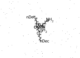 CCCCCCCCCCCCCCOC(=O)C[C@H](NC(=O)[C@@H](N)CCCCN)C(=O)OCCCCCCCCCCCCCC